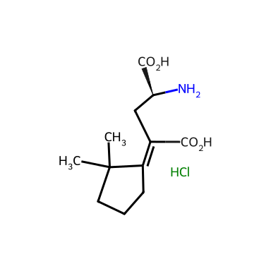 CC1(C)CCC/C1=C(/C[C@H](N)C(=O)O)C(=O)O.Cl